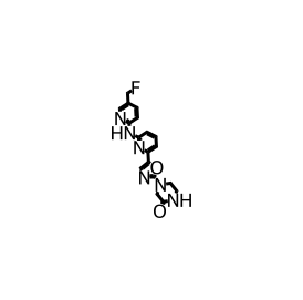 O=C1CN(c2ncc(-c3cccc(Nc4ccc(CF)cn4)n3)o2)CCN1